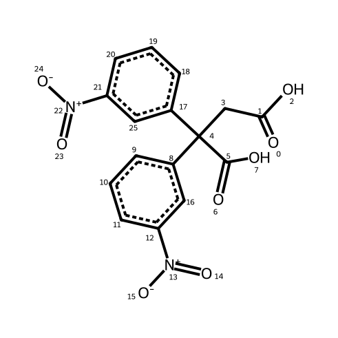 O=C(O)CC(C(=O)O)(c1cccc([N+](=O)[O-])c1)c1cccc([N+](=O)[O-])c1